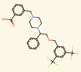 O=C(O)c1cccc(CN2CCN(C(COCc3cc(C(F)(F)F)cc(C(F)(F)F)c3)c3ccccc3)CC2)c1